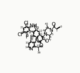 C=CC(=O)N1CC2COc3c(c4cc(F)c(-c5c(N)c(Cl)cc(Cl)c5F)c(F)c4n(-c4c(C)ccnc4C(C)C)c3=O)N2CC1C